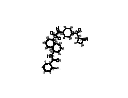 Cc1ccccc1C(=O)Nc1cccc2c(S(=O)(=O)NC3CCN(C(=O)[C@@H]4CCN4)CC3)cccc12